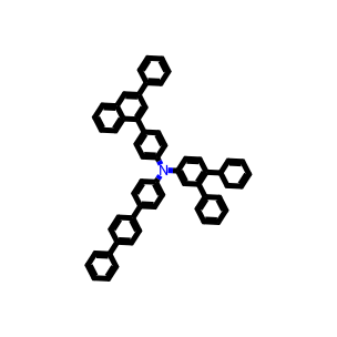 C1=CCC(c2ccc(N(c3ccc(-c4ccc(-c5ccccc5)cc4)cc3)c3ccc(-c4cc(-c5ccccc5)cc5ccccc45)cc3)cc2-c2ccccc2)C=C1